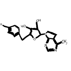 Cc1ncnc2c1ccn2C1OC(Cc2ccc(F)cc2)C(O)C1O